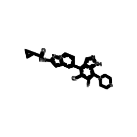 O=C(Nc1cc2cc(-c3c(Cl)c(F)c(N4CCSCC4)c4[nH]ncc34)ccn2n1)C1CC1